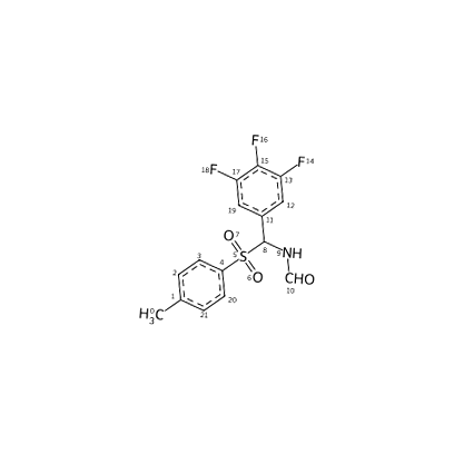 Cc1ccc(S(=O)(=O)C(NC=O)c2cc(F)c(F)c(F)c2)cc1